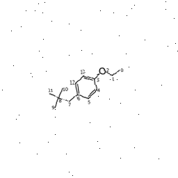 CCOc1ccc(CC(C)(C)C)cc1